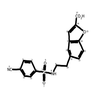 N#Cc1ccc(S(=O)(=O)NCCc2ccc3oc(C(=O)O)cc3c2)cc1